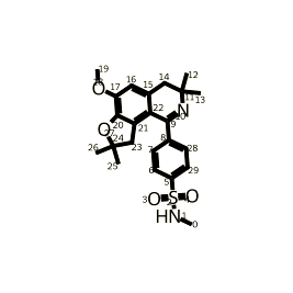 CNS(=O)(=O)c1ccc(C2=NC(C)(C)Cc3cc(OC)c4c(c32)CC(C)(C)O4)cc1